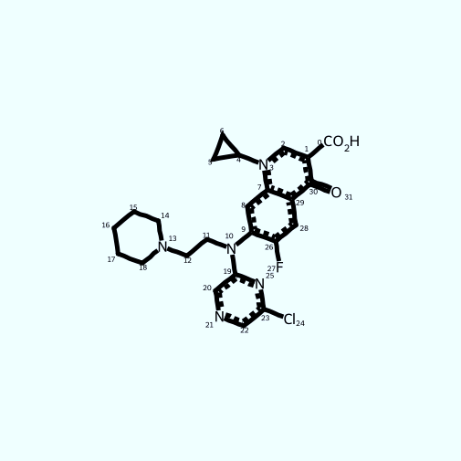 O=C(O)c1cn(C2CC2)c2cc(N(CCN3CCCCC3)c3cncc(Cl)n3)c(F)cc2c1=O